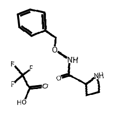 O=C(NOCc1ccccc1)C1CCN1.O=C(O)C(F)(F)F